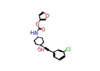 O=C(N[C@H]1CC[C@](O)(C#Cc2cccc(Cl)c2)CC1)Oc1ccoc1